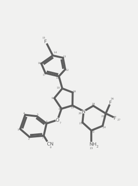 N#Cc1ccccc1OC1CC(c2ccc(F)cc2)CC1N1CC(N)CC(F)(F)C1